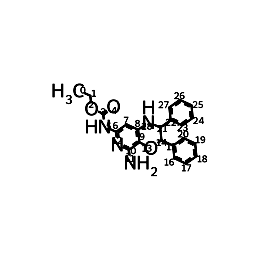 CCOC(=O)Nc1cc2c(c(N)n1)OC(c1ccccc1)C(c1ccccc1)N2